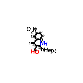 C=C1C(CO)=C(CCCCCCC)Nc2ccc([N+](=O)[O-])cc21